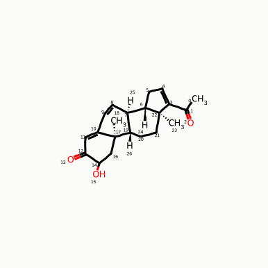 CC(=O)C1=CC[C@H]2[C@@H]3C=CC4=CC(=O)C(O)C[C@]4(C)[C@H]3CC[C@]12C